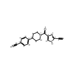 C#Cc1nc(C(=O)N2CCC(c3ccc(C#N)cc3)CC2)cs1